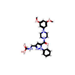 COc1cc(OC)cc(N2CCN(C(=O)c3cc(CNC(=O)O)nn3-c3ccccc3)CC2)c1